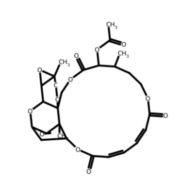 CC(=O)OC1C(=O)OCC23CCC4(C)OC4C2OC2CC(OC(=O)C=CC=CC(=O)OCCC1C)C3(C)C21CO1